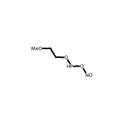 COCCOPON=O